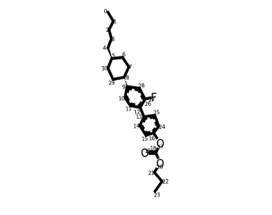 CCCCC[C@H]1CC[C@H](c2ccc(-c3ccc(OC(=O)OCCC)cc3)c(F)c2)CC1